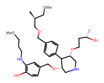 COCCCNc1cc(CO[C@H]2CNC[C@@H](OCC[C@H](C)O)C2c2ccc(COC[C@@H](C)COC)cc2)ccc1O